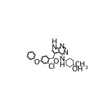 C[C@]1(O)CC[C@H](Nc2ncnc3[nH]cc(C(=O)c4ccc(Oc5ccccc5)cc4Cl)c23)CC1